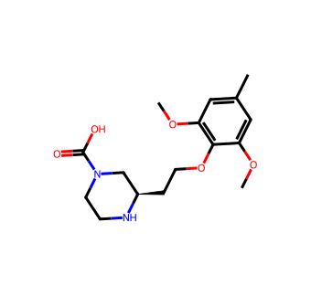 COc1cc(C)cc(OC)c1OCC[C@@H]1CN(C(=O)O)CCN1